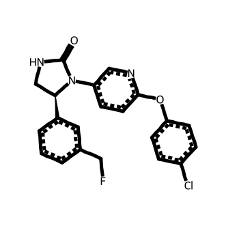 O=C1NC[C@H](c2cccc(CF)c2)N1c1ccc(Oc2ccc(Cl)cc2)nc1